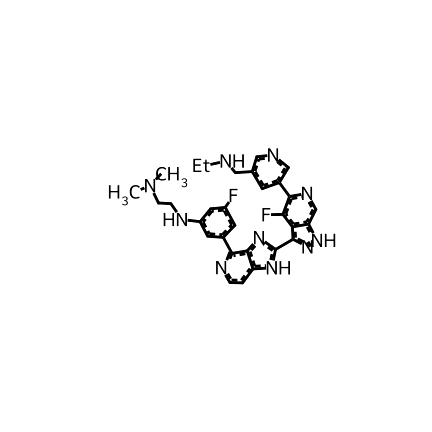 CCNCc1cncc(-c2ncc3[nH]nc(-c4nc5c(-c6cc(F)cc(NCCN(C)C)c6)nccc5[nH]4)c3c2F)c1